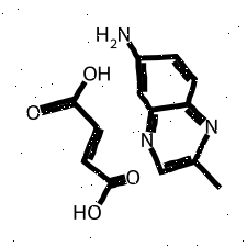 Cc1cnc2cc(N)ccc2n1.O=C(O)/C=C/C(=O)O